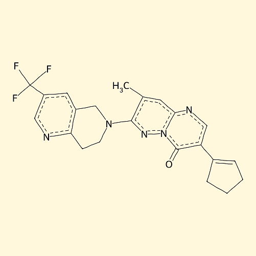 Cc1cc2ncc(C3=CCCC3)c(=O)n2nc1N1CCc2ncc(C(F)(F)F)cc2C1